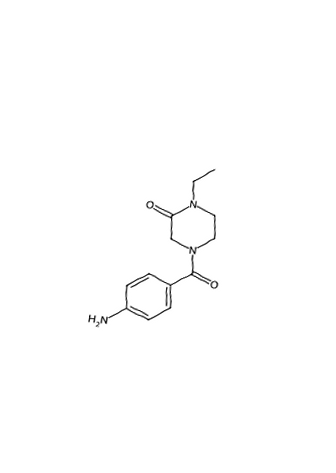 CCN1CCN(C(=O)c2ccc(N)cc2)CC1=O